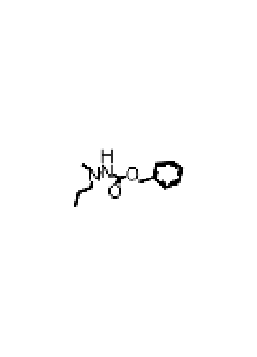 CCCN(C)NC(=O)OCc1ccccc1